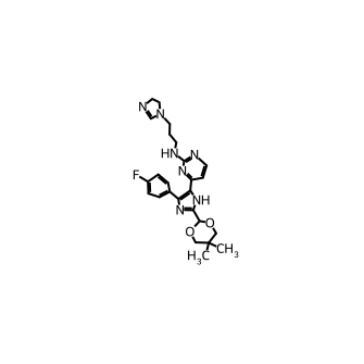 CC1(C)COC(c2nc(-c3ccc(F)cc3)c(-c3ccnc(NCCCN4C=NCC4)n3)[nH]2)OC1